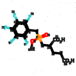 CCOP(=O)(Cc1c(F)c(F)c(F)c(F)c1F)CC(CCC(=O)O)C(=O)O